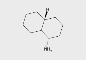 N[C@H]1CCC[C@H]2CCCCC21